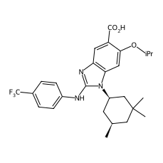 CC(C)Oc1cc2c(cc1C(=O)O)nc(Nc1ccc(C(F)(F)F)cc1)n2[C@@H]1C[C@H](C)CC(C)(C)C1